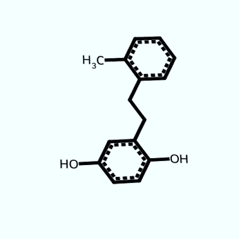 Cc1ccccc1CCc1cc(O)ccc1O